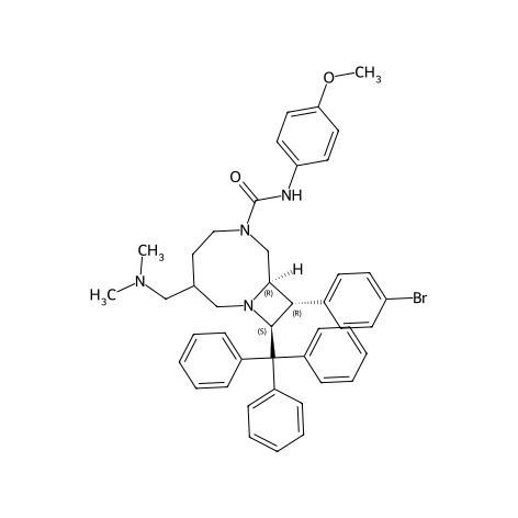 COc1ccc(NC(=O)N2CCC(CN(C)C)CN3[C@H](C(c4ccccc4)(c4ccccc4)c4ccccc4)[C@@H](c4ccc(Br)cc4)[C@@H]3C2)cc1